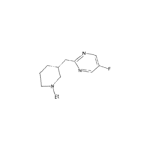 CCN1CCCC(Cc2ncc(F)cn2)C1